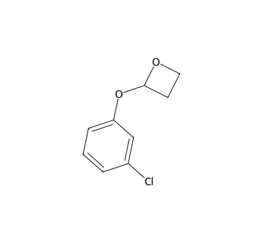 Clc1cccc(OC2CCO2)c1